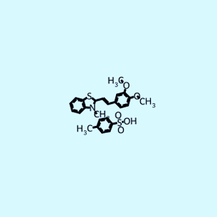 COc1ccc(C=CC2Sc3ccccc3N2C)cc1OC.Cc1ccc(S(=O)(=O)O)cc1